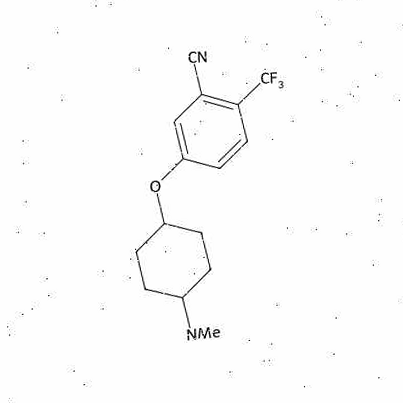 CNC1CCC(Oc2ccc(C(F)(F)F)c(C#N)c2)CC1